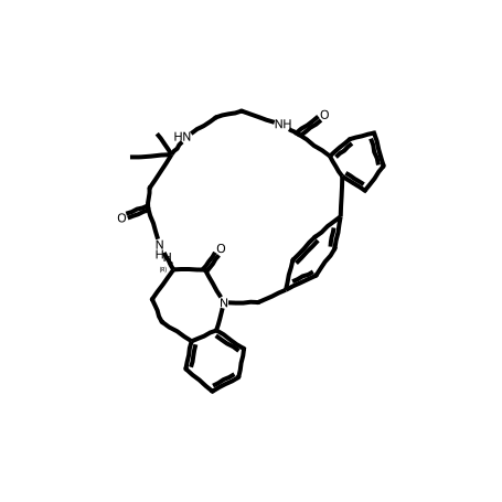 CC1(C)CC(=O)N[C@@H]2CCc3ccccc3N(Cc3ccc(cc3)-c3ccccc3C(=O)NCCN1)C2=O